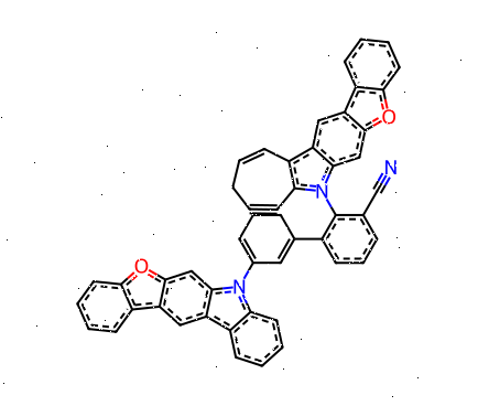 N#Cc1cccc(C2=CC(n3c4ccccc4c4cc5c(cc43)oc3ccccc35)=CCC2)c1-n1c2c(c3cc4c(cc31)oc1ccccc14)C=CCC#C2